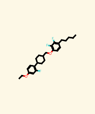 CCCCCc1ccc(OCC2CCC(c3ccc(OCC)cc3F)CC2)c(F)c1F